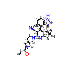 C=CC(=O)N1CC2(CCN(c3nc4c(c(-c5c(C)ccc6[nH]ncc56)c3C#N)[C@@H]3C[C@H]3C4)C2)C1